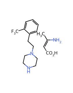 CC(N)=CC(=O)O.FC(F)(F)c1ccccc1CCN1CCNCC1